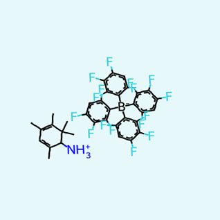 CC1=CC(C)=C(C)C(C)(C)C1[NH3+].Fc1cc(F)c([B-](c2c(F)cc(F)c(F)c2F)(c2c(F)cc(F)c(F)c2F)c2c(F)cc(F)c(F)c2F)c(F)c1F